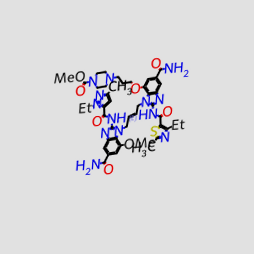 CCc1nc(C)sc1C(=O)Nc1nc2cc(C(N)=O)cc(OCCCN3CCN(C(=O)OC)CC3)c2n1C/C=C/Cn1c(NC(=O)c2cc(C)nn2CC)nc2cc(C(N)=O)cc(OC)c21